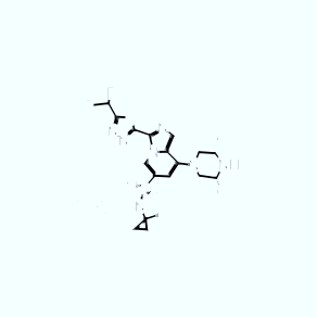 C[C@H]1CN(c2cc(S(=O)(=O)NC3(C)CC3)cn3c(-c4nnc(C(F)F)s4)ncc23)C[C@H](C)N1.O=CO